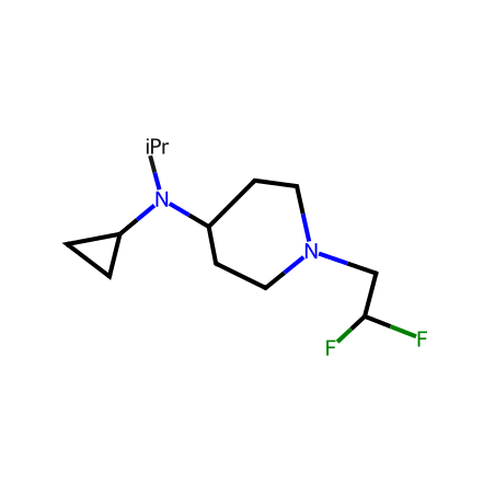 CC(C)N(C1CC1)C1CCN(CC(F)F)CC1